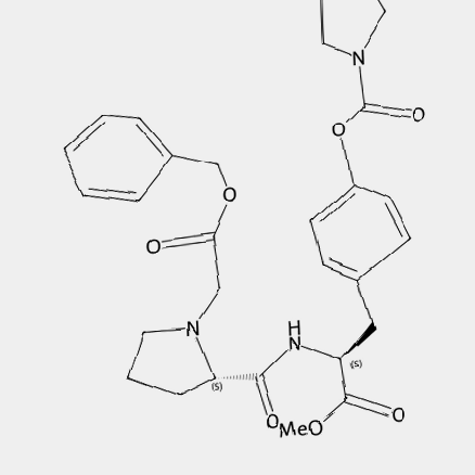 COC(=O)[C@H](Cc1ccc(OC(=O)N2CCCC2)cc1)NC(=O)[C@@H]1CCCN1CC(=O)OCc1ccccc1